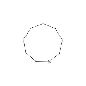 [CH]1CCCCSCCC1